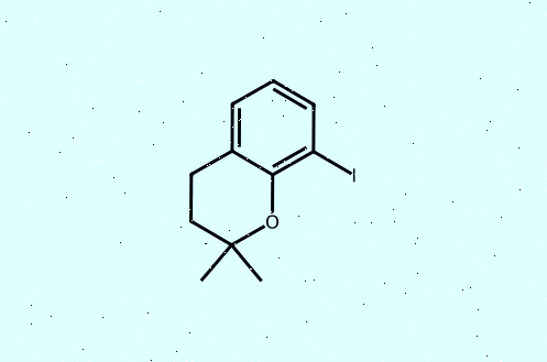 CC1(C)CCc2cccc(I)c2O1